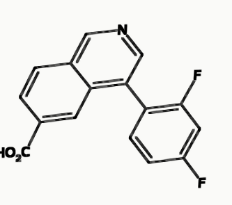 O=C(O)c1ccc2cncc(-c3ccc(F)cc3F)c2c1